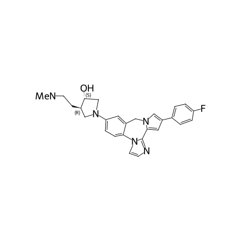 CNCC[C@@H]1CN(c2ccc3c(c2)Cn2cc(-c4ccc(F)cc4)cc2-c2nccn2-3)C[C@H]1O